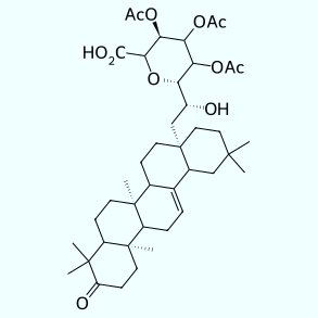 CC(=O)OC1C(OC(C)=O)[C@H]([C@H](O)C[C@@]23CCC4C(=CCC5[C@@]4(C)CCC4C(C)(C)C(=O)CC[C@@]45C)C2CC(C)(C)CC3)OC(C(=O)O)[C@H]1OC(C)=O